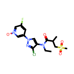 CCN(C(=O)C(C)CS(C)(=O)=O)c1cn(-c2cc(F)c[n+]([O-])c2)nc1Cl